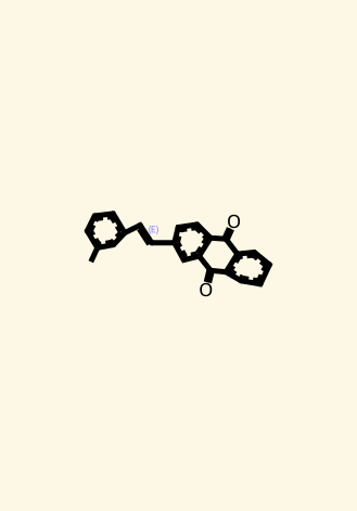 Cc1cccc(/C=C/c2ccc3c(c2)C(=O)c2ccccc2C3=O)c1